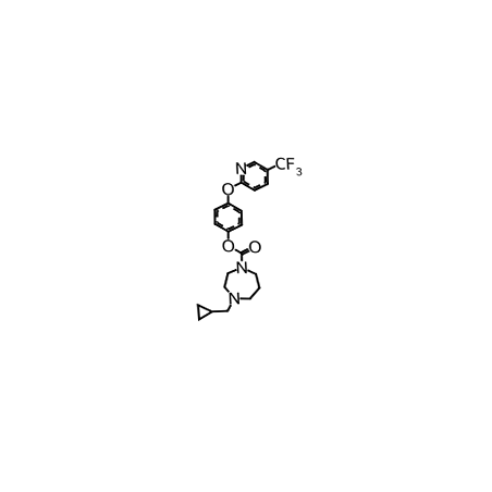 O=C(Oc1ccc(Oc2ccc(C(F)(F)F)cn2)cc1)N1CCCN(CC2CC2)CC1